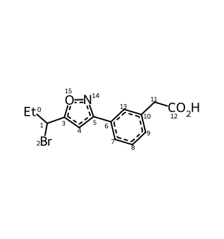 CCC(Br)c1cc(-c2cccc(CC(=O)O)c2)no1